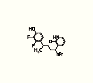 CCCC(CCC(C)c1ccc(O)c(F)c1F)c1ccc[nH]c1=O